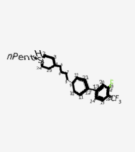 CCCCC[SiH]1CCC(CCCC[C@H]2CC[C@H](c3ccc(C(F)(F)F)c(F)c3)CC2)CC1